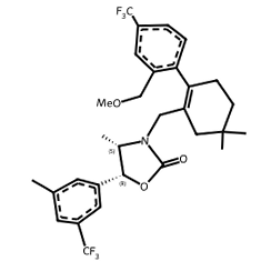 COCc1cc(C(F)(F)F)ccc1C1=C(CN2C(=O)O[C@H](c3cc(C)cc(C(F)(F)F)c3)[C@@H]2C)CC(C)(C)CC1